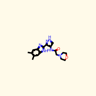 Cc1cc2nc(-c3n[nH]cc3NC(=O)CN3CCOCC3)[nH]c2cc1C